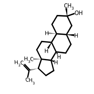 C=C(C)[C@H]1CC[C@H]2[C@@H]3CC[C@H]4C[C@@](C)(O)CC[C@@H]4[C@H]3CC[C@]12C